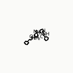 CC(Nc1nccc(-n2cnc3cc(NC(=O)C=Cc4ccccc4)ccc32)n1)c1ccccc1